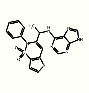 CC(Nc1ncnc2[nH]cnc12)C1=Cc2sccc2S(=O)(=O)N1c1ccccc1